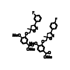 COC(=O)c1ccc(OC)c(OCC2(C)CC(c3ccc(F)cc3)=NO2)c1.COC(=O)c1ccc(OC)c(OCC2(C)CC(c3cccc(F)c3)=NO2)c1